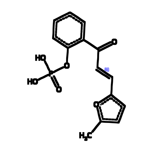 Cc1ccc(/C=C/C(=O)c2ccccc2OP(=O)(O)O)o1